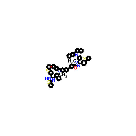 CN1c2c(oc3cc(-c4ccc5cc6c(cc5c4)c4cc5ccccc5cc4n6C4(C)C=CC(C5=Nc6c(sc7ccccc67)NC5c5ccc6c(c5)sc5ccccc56)=C5C#CC=CC54)ccc23)N=C(C2=Cc3sc4ccccc4c3C=CC2)C1c1cccc(-n2c3cc4ccccc4cc3c3ccc4ccccc4c32)c1